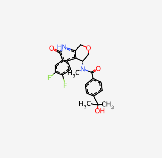 CN(C(=O)c1ccc(C(C)(C)O)cc1)[C@H]1COCc2[nH]c(=O)c3cc(F)c(F)cc3c21